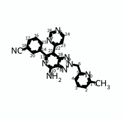 Cc1cccc(Cn2nc3c(N)nc(-c4cccc(C#N)c4)c(-c4ccncn4)c3n2)n1